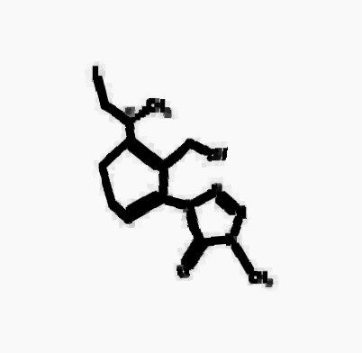 C[C@@H](CI)C1=C(CO)C(n2nnn(C)c2=O)=CCC1